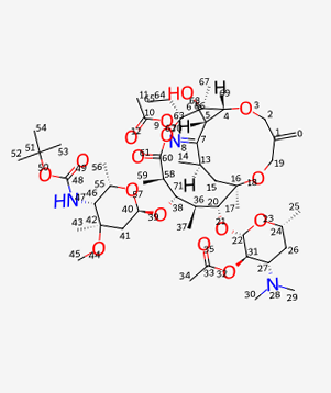 C=C1CO[C@@H]2[C@@H](C)C(=NOC(C)=O)[C@H](C)C[C@@](C)(OC1)[C@H](O[C@@H]1O[C@H](C)C[C@H](N(C)C)[C@H]1OC(C)=O)[C@@H](C)[C@H](O[C@H]1C[C@@](C)(OC)[C@H](NC(=O)OC(C)(C)C)[C@H](C)O1)[C@@H](C)C(=O)O[C@H](CC)[C@@]2(C)O